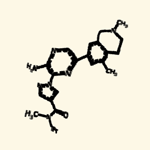 Cc1cc(-c2cnc(N)c(-n3cc(C(=O)N(C)C(C)C)cn3)n2)cc2c1CCN(C)C2